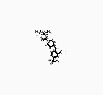 Cc1cc(C(F)(F)F)ccc1CC1CCN(C(=O)OC(C)(C)C)CC1